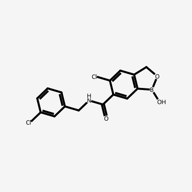 O=C(NCc1cccc(Cl)c1)c1cc2c(cc1Cl)COB2O